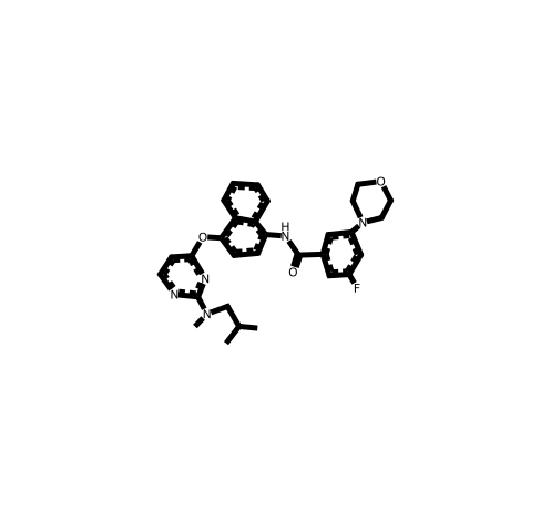 CC(C)CN(C)c1nccc(Oc2ccc(NC(=O)c3cc(F)cc(N4CCOCC4)c3)c3ccccc23)n1